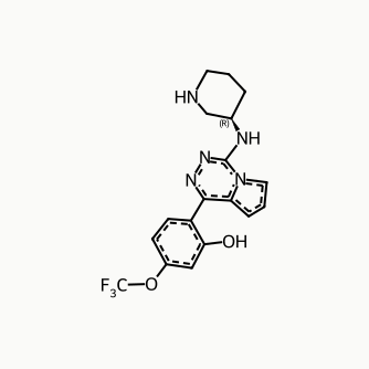 Oc1cc(OC(F)(F)F)ccc1-c1nnc(N[C@@H]2CCCNC2)n2cccc12